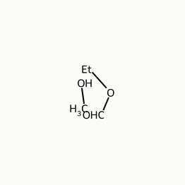 CCOC=O.CO